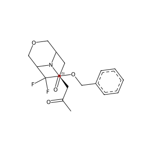 CC(=O)C[C@@H]1CC2COCC(N2C(=O)OCc2ccccc2)C1(F)F